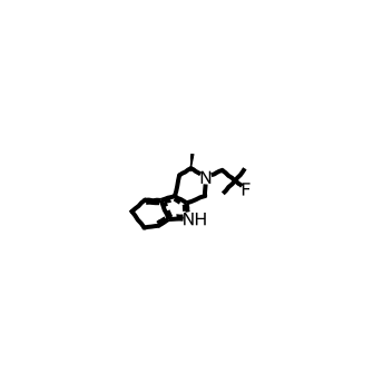 C[C@@H]1Cc2c([nH]c3c2=CCCC=3)CN1CC(C)(C)F